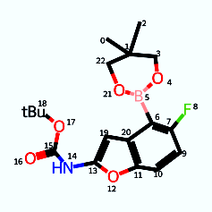 CC1(C)COB(c2c(F)ccc3oc(NC(=O)OC(C)(C)C)cc23)OC1